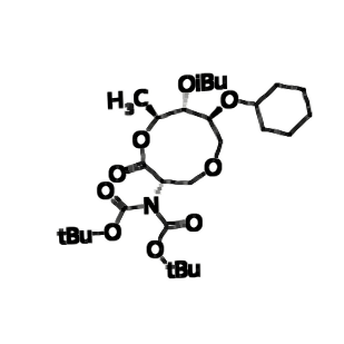 CC(C)CO[C@H]1[C@H](C)OC(=O)[C@@H](N(C(=O)OC(C)(C)C)C(=O)OC(C)(C)C)COC[C@@H]1OC1CCCCC1